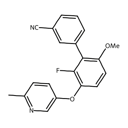 COc1ccc(Oc2ccc(C)nc2)c(F)c1-c1cccc(C#N)c1